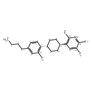 CCCCc1ccc([C@H]2CC[C@H](c3cc(F)c(F)nc3F)CC2)c(F)c1